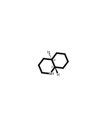 C1CC[C@@H]2NCCC[C@H]2C1